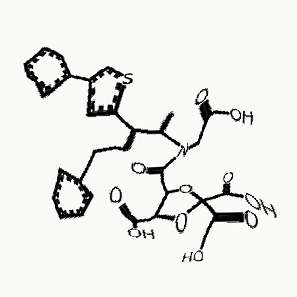 CC(C(CCc1ccccc1)c1cc(-c2ccccc2)cs1)N(CC(=O)O)C(=O)C1OC(C(=O)O)(C(=O)O)OC1C(=O)O